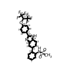 CS(=O)(=O)Nc1ccccc1-c1ccc2[nH]c(-c3ccc(OC(C(F)(F)F)C(F)(F)F)cc3)nc2c1